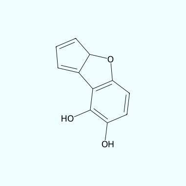 Oc1ccc2c(c1O)C1=CC=CC1O2